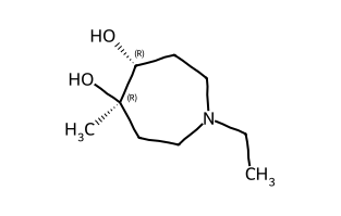 CCN1CC[C@@H](O)[C@](C)(O)CC1